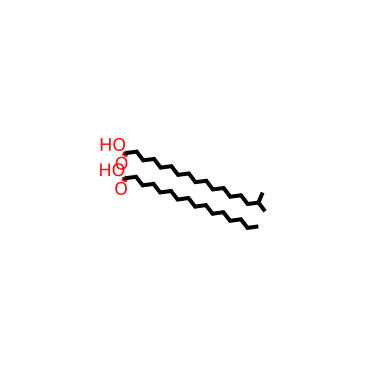 CC(C)CCCCCCCCCCCCCCC(=O)O.CCCCCCCCCCCCCCCC(=O)O